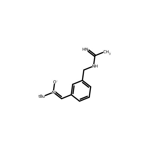 CC(=N)NCc1cccc(C=[N+]([O-])C(C)(C)C)c1